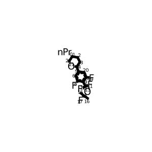 CCCC1CCC(c2cc(F)c(C(F)(F)OC(C)(C)F)c(F)c2)OC1